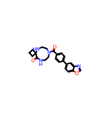 O=C(c1ccc(-c2ccc3ocnc3c2)cc1)N1CCNC(=O)C2(CCC2)NCC1